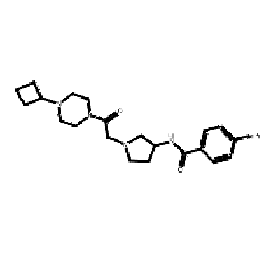 CCCc1ccc(C(=O)NC2CCN(CC(=O)N3CCN(C4CCC4)CC3)C2)cc1